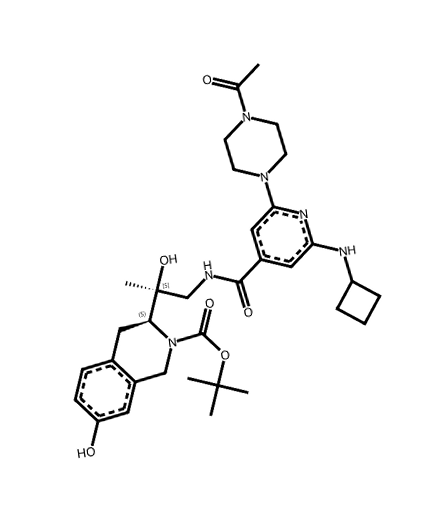 CC(=O)N1CCN(c2cc(C(=O)NC[C@](C)(O)[C@@H]3Cc4ccc(O)cc4CN3C(=O)OC(C)(C)C)cc(NC3CCC3)n2)CC1